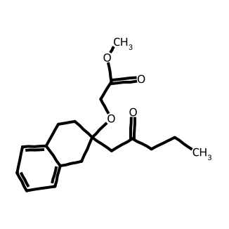 CCCC(=O)CC1(OCC(=O)OC)CCc2ccccc2C1